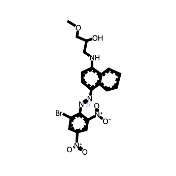 COCC(O)CNc1ccc(/N=N/c2c(Br)cc([N+](=O)[O-])cc2[N+](=O)[O-])c2ccccc12